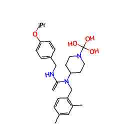 C=C(NCc1ccc(OC(C)C)cc1)N(Cc1ccc(C)cc1C)C1CCN(C(O)(O)O)CC1